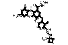 CONC(=O)c1cc(Cc2ccnc(NSNC3(C)CCC3)c2F)c(F)c(F)c1Nc1ccc(C)cc1F